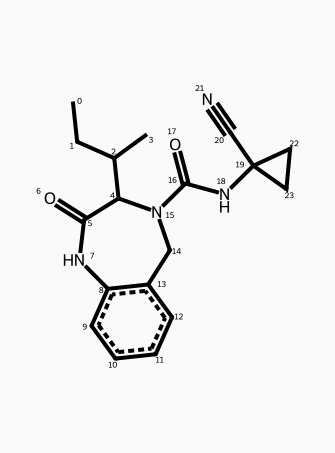 CCC(C)C1C(=O)Nc2ccccc2CN1C(=O)NC1(C#N)CC1